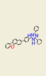 CN1C(C2=CCCC=C2)NC(c2ccc(-c3ccc4c(ccc5c6ccccc6oc45)c3)cc2)NC1c1ccccc1